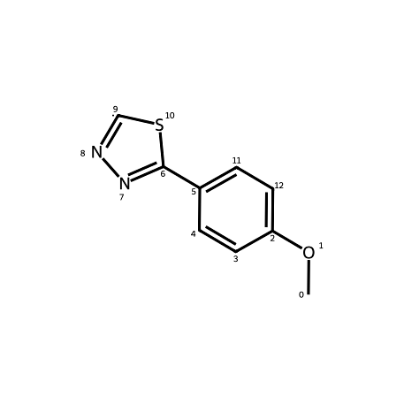 COc1ccc(-c2nn[c]s2)cc1